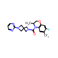 CC1COc2cc(F)c(C(F)(F)F)cc2N1C(=O)N1CC2(C1)CN(c1ncccn1)C2